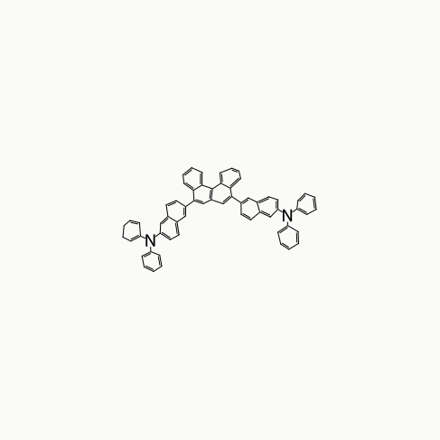 C1=CC(N(c2ccccc2)c2ccc3cc(-c4cc5cc(-c6ccc7cc(N(c8ccccc8)c8ccccc8)ccc7c6)c6ccccc6c5c5ccccc45)ccc3c2)=CCC1